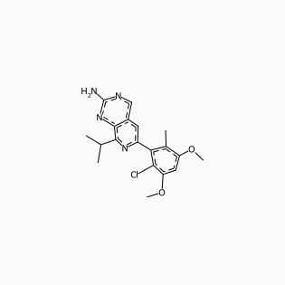 COc1cc(OC)c(Cl)c(-c2cc3cnc(N)nc3c(C(C)C)n2)c1C